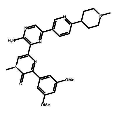 COc1cc(OC)cc(-c2nc(-c3nc(-c4ccc(C5CCN(C)CC5)nc4)cnc3N)cn(C)c2=O)c1